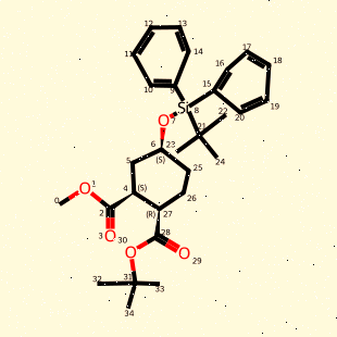 COC(=O)[C@H]1C[C@@H](O[Si](c2ccccc2)(c2ccccc2)C(C)(C)C)CC[C@H]1C(=O)OC(C)(C)C